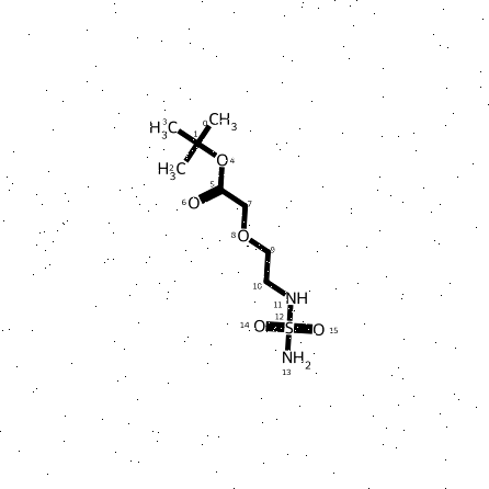 CC(C)(C)OC(=O)COCCNS(N)(=O)=O